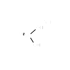 O=[Se](O)O.[BiH3]